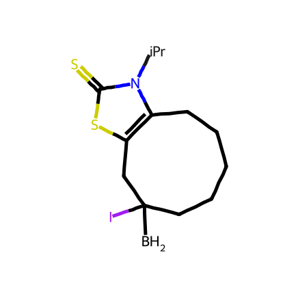 BC1(I)CCCCCc2c(sc(=S)n2C(C)C)C1